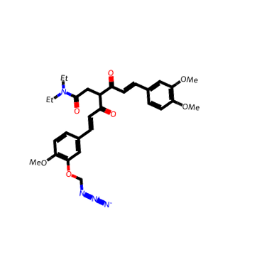 CCN(CC)C(=O)CC(C(=O)/C=C/c1ccc(OC)c(OC)c1)C(=O)/C=C/c1ccc(OC)c(OCN=[N+]=[N-])c1